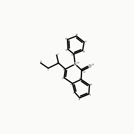 CCC(C)c1cc2ccccc2c(=O)n1-c1ccccc1